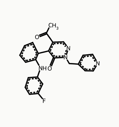 CC(=O)c1cnn(Cc2ccncc2)c(=O)c1-c1ccccc1Nc1cccc(F)c1